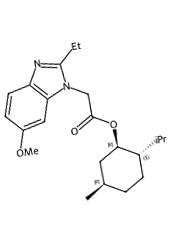 CCc1nc2ccc(OC)cc2n1CC(=O)O[C@@H]1C[C@H](C)CC[C@H]1C(C)C